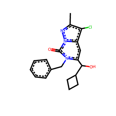 Cc1nn2c(=O)n(Cc3ccccc3)c(C(O)C3CCC3)cc2c1Cl